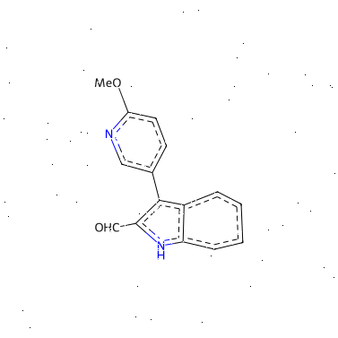 COc1ccc(-c2c(C=O)[nH]c3ccccc23)cn1